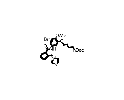 CCCCCCCCCCCCCCOc1cc(NC(=O)c2ccccc2C[n+]2ccsc2)ccc1OC.[Br-]